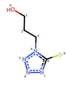 OCCCn1nnnc1[S]